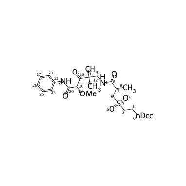 CCCCCCCCCCCCS(=O)(=O)CC(C)C(=O)NCC(C)(C)C(=O)C(OC)C(=O)Nc1ccccc1